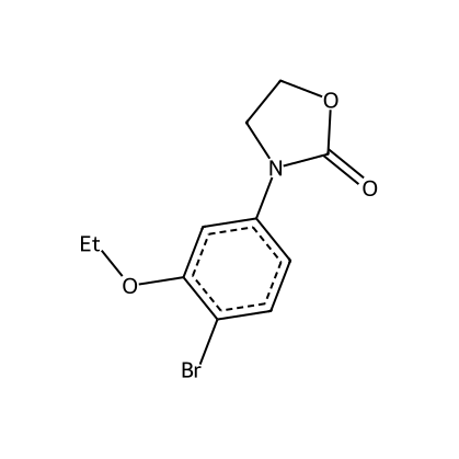 CCOc1cc(N2CCOC2=O)ccc1Br